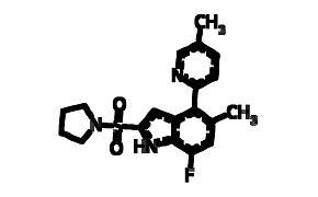 Cc1ccc(-c2c(C)cc(F)c3[nH]c(S(=O)(=O)N4CCCC4)cc23)nc1